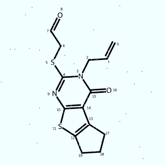 C=CCn1c(SC[C]=O)nc2sc3c(c2c1=O)CCC3